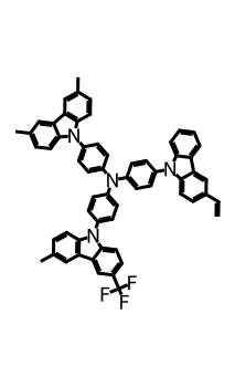 C=Cc1ccc2c(c1)c1ccccc1n2-c1ccc(N(c2ccc(-n3c4ccc(C)cc4c4cc(C)ccc43)cc2)c2ccc(-n3c4ccc(C)cc4c4cc(C(F)(F)F)ccc43)cc2)cc1